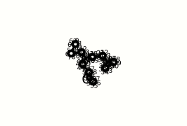 c1ccc(-c2ccccc2-c2cccc(N(c3ccc(-c4cccc(-n5c6ccccc6c6ccccc65)c4)cc3)c3cccc(-c4ccc5c(c4)oc4ccccc45)c3)c2)cc1